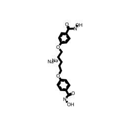 O=C([N-]O)c1ccc(OCCCCCOc2ccc(C(=O)[N-]O)cc2)cc1.[Na+].[Na+]